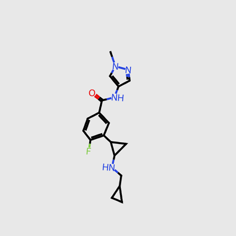 Cn1cc(NC(=O)c2ccc(F)c(C3CC3NCC3CC3)c2)cn1